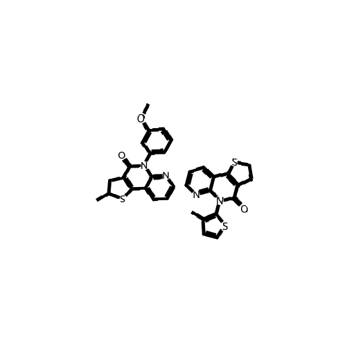 COc1cccc(-n2c(=O)c3c(c4cccnc42)SC(C)C3)c1.Cc1ccsc1-n1c(=O)c2c(c3cccnc31)SCC2